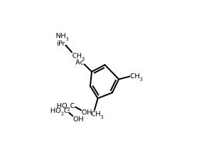 CC(=O)c1cc(C)cc(C)c1.CC(C)C.N.O=C(O)O.O=C(O)O